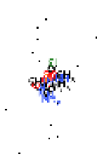 CCOCc1nc2c(N)nc3ccccc3c2n1C[C@@H](C)O[P@@](=O)(N[C@@H](C)C(=O)NC)Oc1ccc(Cl)cc1